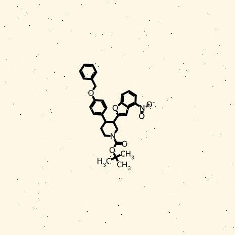 CC(C)(C)OC(=O)N1CCC(c2ccc(OCc3ccccc3)cc2)C(c2cc3c([N+](=O)[O-])cccc3o2)C1